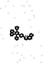 C1=C(c2ccc(-c3ccc4ccc5ccccc5c4n3)cc2)C(c2ccccc2)C2C(=C1c1ccccc1)c1cccc3cccc2c13